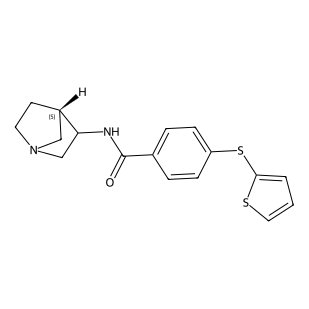 O=C(NC1CN2CC[C@H]1C2)c1ccc(Sc2cccs2)cc1